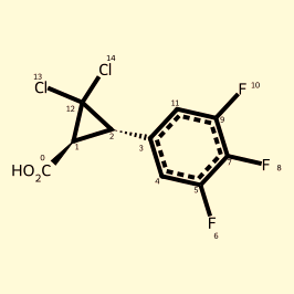 O=C(O)[C@@H]1[C@@H](c2cc(F)c(F)c(F)c2)C1(Cl)Cl